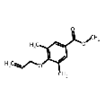 C=CCOc1c(C)cc(C(=O)OC)cc1C